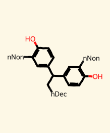 CCCCCCCCCCCC(c1ccc(O)c(CCCCCCCCC)c1)c1ccc(O)c(CCCCCCCCC)c1